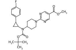 COC(=O)c1cnc(N2CCC(N(C(=O)OC(C)(C)C)C3CC3c3ccc(F)cc3)CC2)nc1